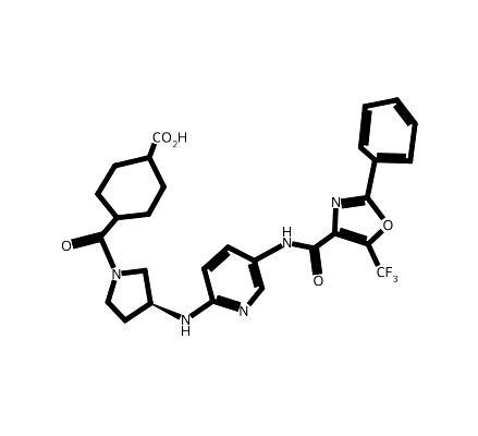 O=C(Nc1ccc(N[C@H]2CCN(C(=O)C3CCC(C(=O)O)CC3)C2)nc1)c1nc(-c2ccccc2)oc1C(F)(F)F